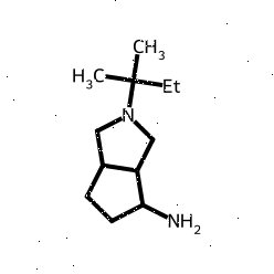 CCC(C)(C)N1CC2CCC(N)C2C1